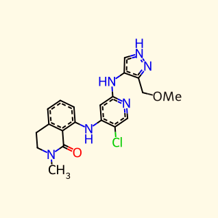 COCc1n[nH]cc1Nc1cc(Nc2cccc3c2C(=O)N(C)CC3)c(Cl)cn1